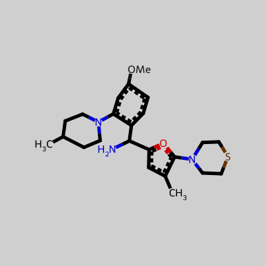 COc1ccc(C(N)c2cc(C)c(N3CCSCC3)o2)c(N2CCC(C)CC2)c1